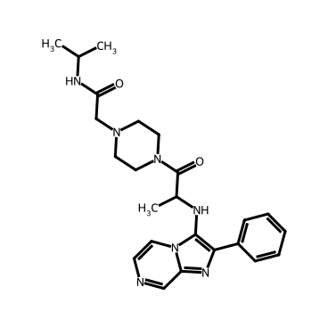 CC(C)NC(=O)CN1CCN(C(=O)C(C)Nc2c(-c3ccccc3)nc3cnccn23)CC1